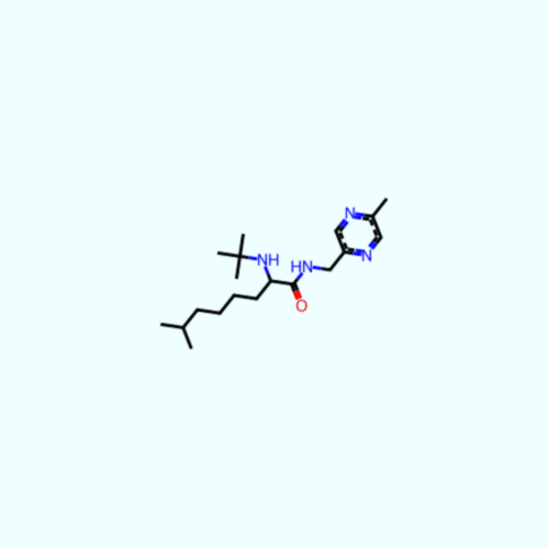 Cc1cnc(CNC(=O)C(CCCCC(C)C)NC(C)(C)C)cn1